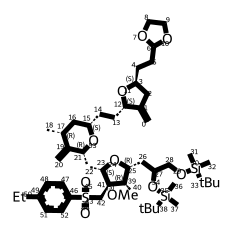 C=C1C[C@H](CCC2OCCO2)O[C@H]1CC[C@H]1C[C@@H](C)C(=C)[C@@H](C[C@@H]2O[C@H](CC(CO[Si](C)(C)C(C)(C)C)O[Si](C)(C)C(C)(C)C)[C@H](OC)[C@H]2CS(=O)(=O)c2ccc(CC)cc2)O1